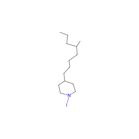 CCCC(C)CCCCC1CCN(I)CC1